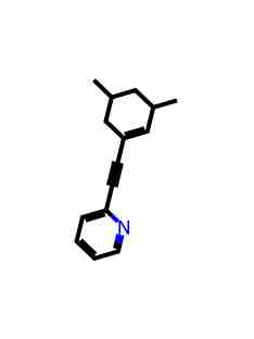 CC1C=C(C#Cc2ccccn2)CC(C)C1